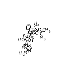 CC(C)OC(=O)[C@H](C)NP(=S)(OC[C@@]1(C(F)F)O[C@@H](n2cnc3c(N)ncnc32)[C@H](O)C1(F)F)Oc1ccccc1